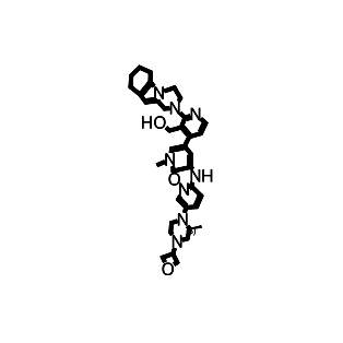 C[C@H]1CN(C2COC2)CCN1c1ccc(Nc2cc(-c3ccnc(N4CCn5c(cc6c5CCCC6)C4)c3CO)cn(C)c2=O)nc1